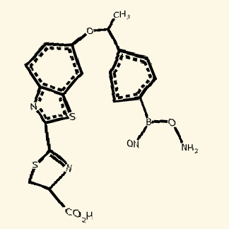 CC(Oc1ccc2nc(C3=NC(C(=O)O)CS3)sc2c1)c1ccc(B(N=O)ON)cc1